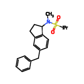 CC(C)S(=O)(=O)N(C)C1CCc2cc(Cc3ccccc3)ccc21